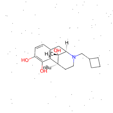 CCCC[C@]12CCN(CC3CCC3)[C@H](Cc3ccc(O)c(O)c31)[C@@]2(C)O